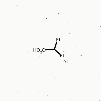 CCC(CC)C(=O)O.[Ni]